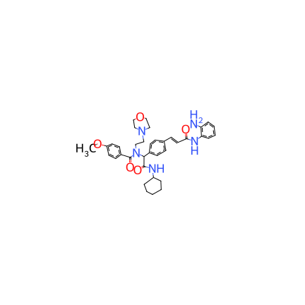 COc1ccc(C(=O)N(CCN2CCOCC2)C(C(=O)NC2CCCCC2)c2ccc(C=CC(=O)Nc3ccccc3N)cc2)cc1